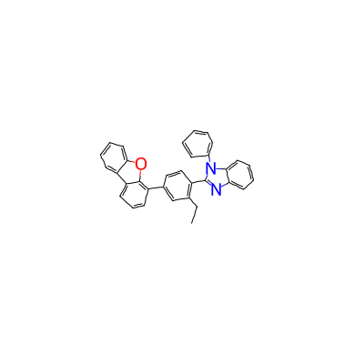 CCc1cc(-c2cccc3c2oc2ccccc23)ccc1-c1nc2ccccc2n1-c1ccccc1